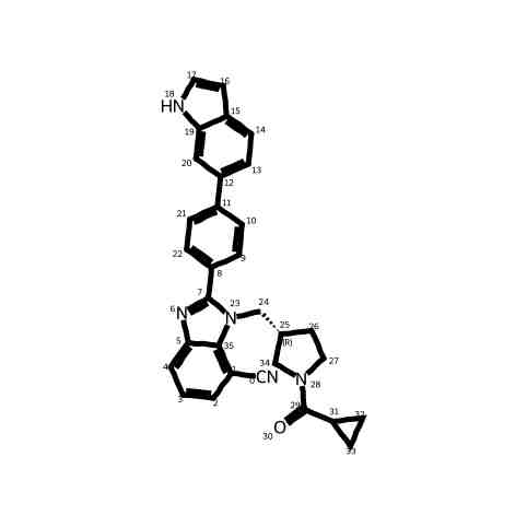 N#Cc1cccc2nc(-c3ccc(-c4ccc5cc[nH]c5c4)cc3)n(C[C@@H]3CCN(C(=O)C4CC4)C3)c12